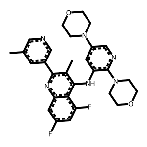 Cc1cncc(-c2nc3cc(F)cc(F)c3c(Nc3cc(N4CCOCC4)cnc3N3CCOCC3)c2C)c1